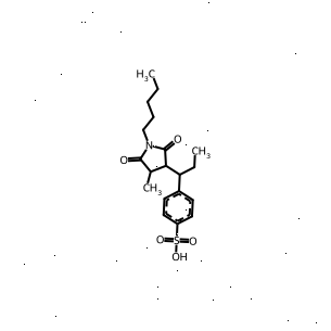 CCCCCN1C(=O)C(C)C(C(CC)c2ccc(S(=O)(=O)O)cc2)C1=O